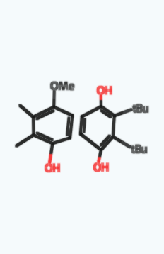 CC(C)(C)c1c(O)ccc(O)c1C(C)(C)C.COc1ccc(O)c(C)c1C